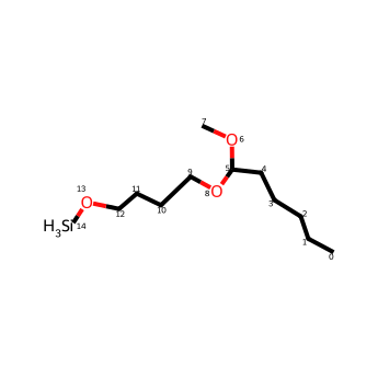 CCCCCC(OC)OCCCCO[SiH3]